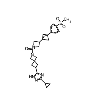 CS(=O)(=O)c1ccc(C23CC(C4CN(C(=O)N5CC6(CC(c7nc(C8CC8)n[nH]7)C6)C5)C4)(C2)C3)cc1